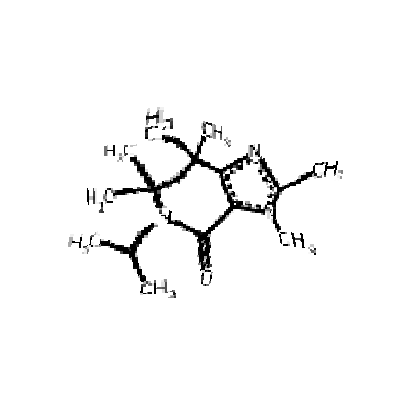 Cc1nc2c(n1C)C(=O)N(C(C)C)C(C)(C)C2(C)C